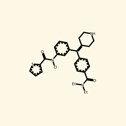 CCN(CC)C(=O)c1ccc(C(=C2CCNCC2)c2cccc(N(Cl)C(=O)c3cccs3)c2)cc1